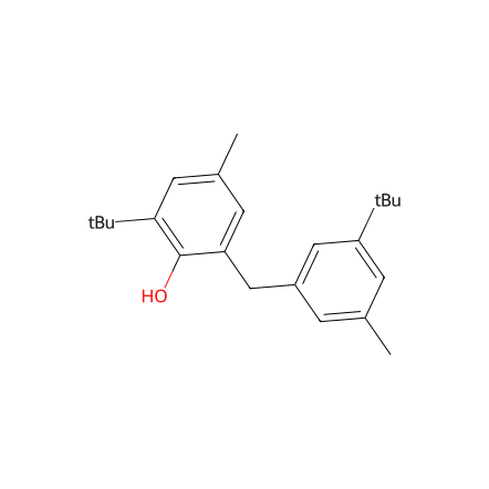 Cc1cc(Cc2cc(C)cc(C(C)(C)C)c2O)cc(C(C)(C)C)c1